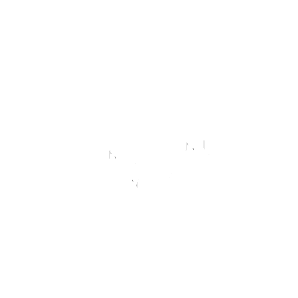 Cc1cn2c(n1)c(C(N)=O)cc1ccccc12